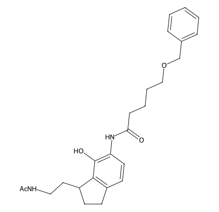 CC(=O)NCCC1CCc2ccc(NC(=O)CCCCOCc3ccccc3)c(O)c21